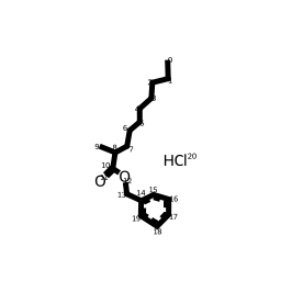 CCCCCCCCC(C)C(=O)OCc1ccccc1.Cl